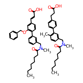 CCCCCCCC(=O)N(C)Cc1ccc(C)c(-c2ccc(CCC(=O)O)cc2)c1.CCCCCCCC(=O)N(C)Cc1cccc(-c2ccc(C=CC(=O)O)cc2OCc2ccccc2)c1